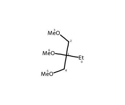 CCC(COC)(COC)OC